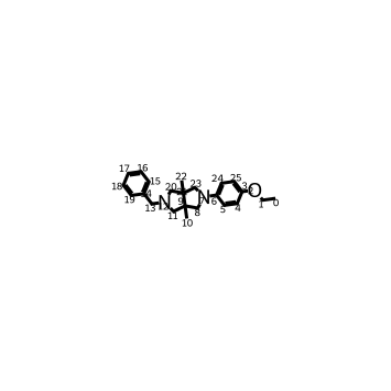 CCOc1ccc(N2CC3(C)CN(Cc4ccccc4)CC3(C)C2)cc1